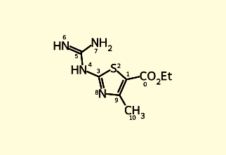 CCOC(=O)c1sc(NC(=N)N)nc1C